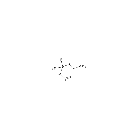 CC1C=CCC(F)(F)C1